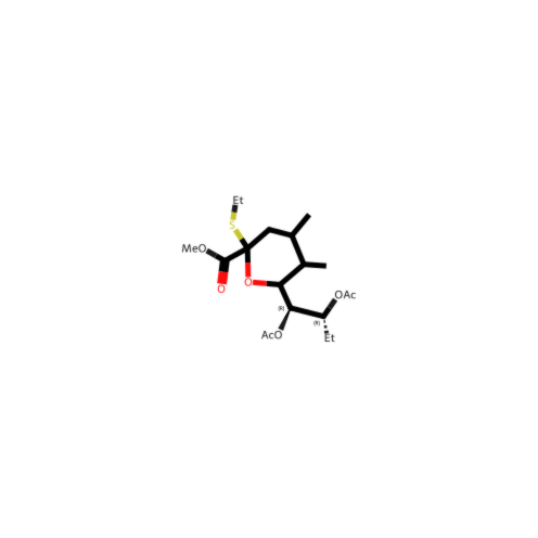 CCSC1(C(=O)OC)CC(C)C(C)C([C@H](OC(C)=O)[C@@H](CC)OC(C)=O)O1